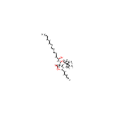 CCCCCCCCCCC[C@@H](O)C[C@H](O[Si](C)(C)C(C)(C)C)[C@H](CCCCCC)C(=O)O